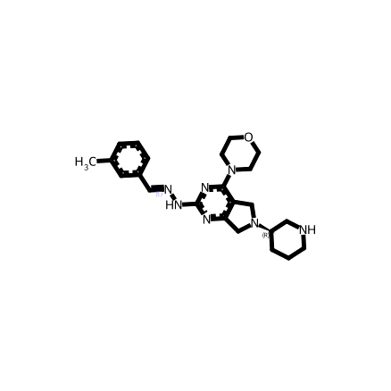 Cc1cccc(/C=N/Nc2nc3c(c(N4CCOCC4)n2)CN([C@@H]2CCCNC2)C3)c1